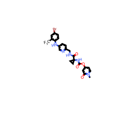 Cn1ccc(OC(=O)NC2(C(=O)NCc3ccc(Nc4ccc(Br)cc4C(F)(F)F)cn3)CC2)cc1=O